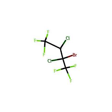 FC(F)(F)[C](Cl)C(Cl)(Br)C(F)(F)F